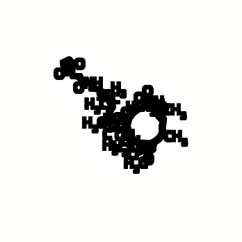 COc1cc2cc(c1Cl)N(C)C(=O)C[C@H](OC(O)[C@H](C)N(C)C(=O)CCC(C)(C)SSCCNC(=O)CCN1C(=O)C=CC1=O)[C@]1(C)O[C@H]1[C@@]1(C)COC(=O)N[C@](O)(C1)[C@H](OC)/C=C/C=C(\C)C2